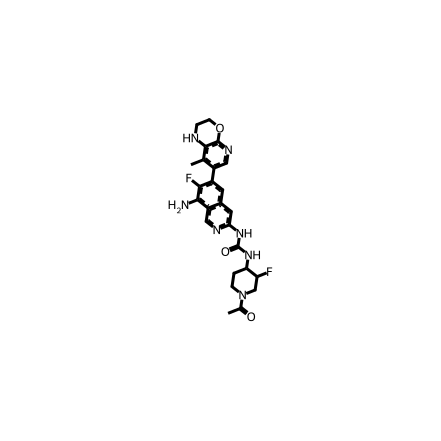 CC(=O)N1CCC(NC(=O)Nc2cc3cc(-c4cnc5c(c4C)NCCO5)c(F)c(N)c3cn2)C(F)C1